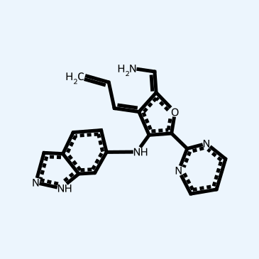 C=C/C=c1/c(Nc2ccc3cn[nH]c3c2)c(-c2ncccn2)o/c1=C/N